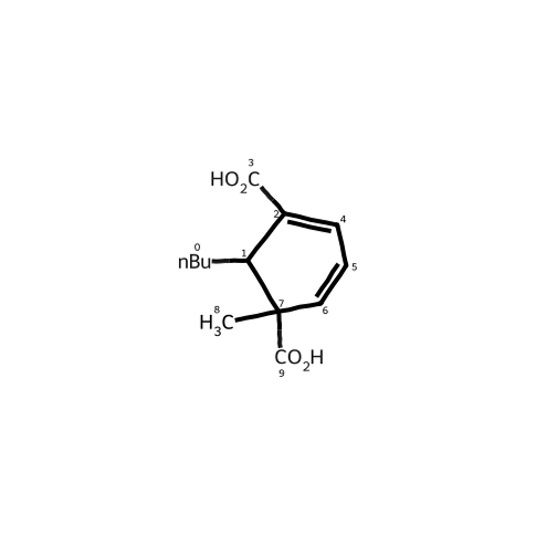 CCCCC1C(C(=O)O)=CC=CC1(C)C(=O)O